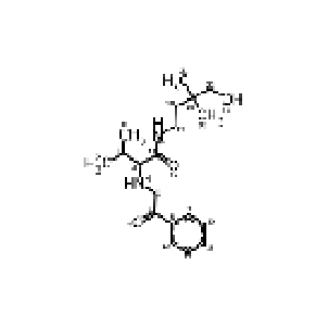 CC(C)[C@H](NCC(=O)c1ccccc1)C(=O)NCCC(C)(C)CO